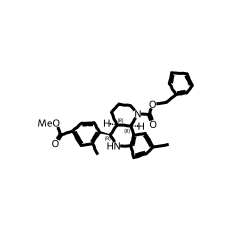 COC(=O)c1ccc([C@@H]2Nc3ccc(C)cc3[C@H]3[C@@H]2CCCN3C(=O)OCc2ccccc2)c(C)c1